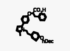 CCCCCCCCCCOc1ccc(CCn2c(C)ccc2-c2ccc(O[C@H](Cc3ccccc3)C(=O)O)cc2)cc1